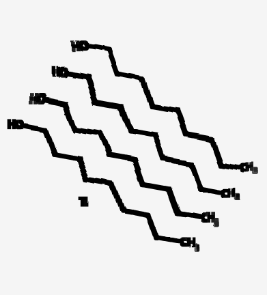 CCCCCCCCCO.CCCCCCCCCO.CCCCCCCCCO.CCCCCCCCCO.[Ti]